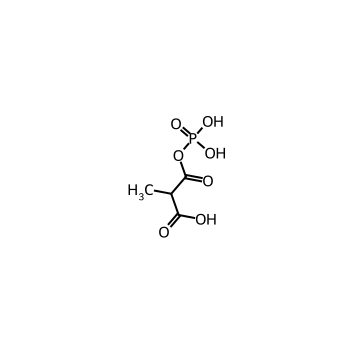 CC(C(=O)O)C(=O)OP(=O)(O)O